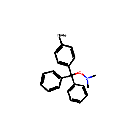 CNc1ccc(C(ON(C)C)(c2ccccc2)c2ccccc2)cc1